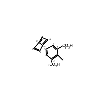 Cc1c(C(=O)O)cccc1C(=O)O.c1cc2ccc1-2